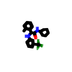 Cc1ccccc1C(Nc1cccc(C(F)(F)F)c1)C(=O)NC1CCCCC1